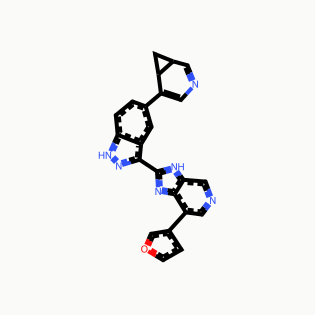 C1=NC=C(c2ccc3[nH]nc(-c4nc5c(-c6ccoc6)cncc5[nH]4)c3c2)C2CC12